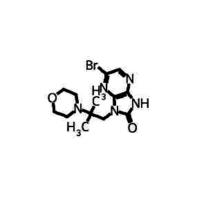 CC(C)(Cn1c(=O)[nH]c2ncc(Br)nc21)N1CCOCC1